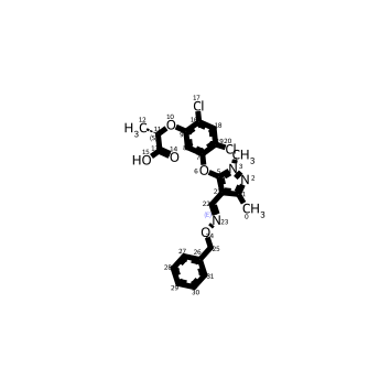 Cc1nn(C)c(Oc2cc(O[C@@H](C)C(=O)O)c(Cl)cc2Cl)c1/C=N/OCc1ccccc1